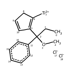 CCC(OC)(C1=[C]([Ti+2])CC=C1)c1ccccc1.[Cl-].[Cl-]